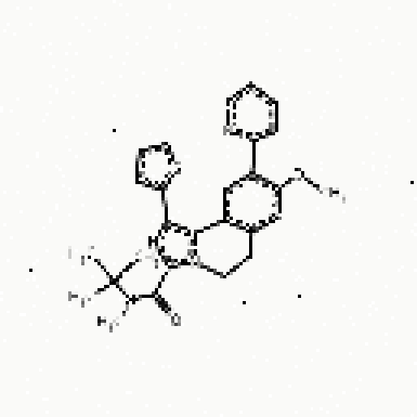 COc1cc2c(cc1-c1ccccn1)-c1c(-c3cccs3)nc(C(=O)N(C)C(C)(C)C)n1CC2